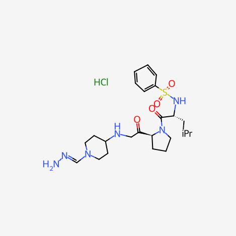 CC(C)C[C@@H](NS(=O)(=O)c1ccccc1)C(=O)N1CCC[C@H]1C(=O)CNC1CCN(C=NN)CC1.Cl